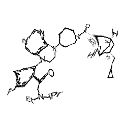 CCN(C(=O)c1cc(F)ccc1N1CCN(C2CCCN(C(=O)[C@H]3NC4C[C@@H]3C[C@@H]4CC3CC3)CC2)c2ncncc21)C(C)C